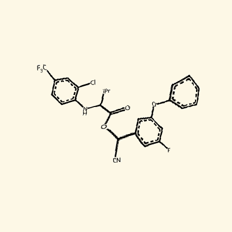 CC(C)C(Nc1ccc(C(F)(F)F)cc1Cl)C(=O)OC(C#N)c1cc(F)cc(Oc2ccccc2)c1